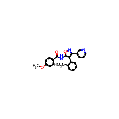 O=C(Nc1onc(-c2cccnc2)c1-c1ccccc1C(=O)O)c1ccc(OC(F)(F)F)cc1